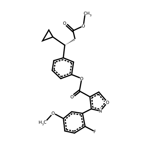 COC(=O)C[C@H](c1cccc(OC(=O)c2conc2-c2cc(OC)ccc2F)c1)C1CC1